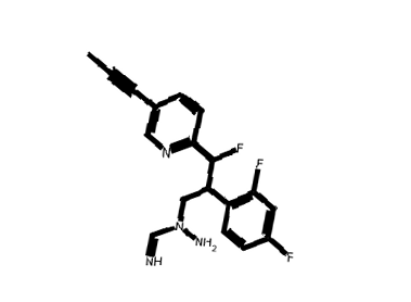 CC#Cc1ccc(C(F)C(CN(N)C=N)c2ccc(F)cc2F)nc1